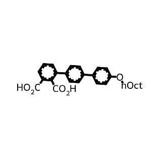 CCCCCCCCOc1ccc(-c2ccc(-c3cccc(C(=O)O)c3C(=O)O)cc2)cc1